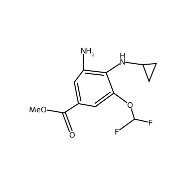 COC(=O)c1cc(N)c(NC2CC2)c(OC(F)F)c1